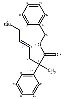 CC(C)(C)C/C=C/CC(C)(C(=O)OCc1ccccc1)c1ccccc1